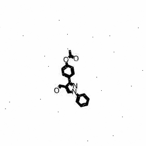 CC(=O)Oc1ccc(-c2nn(-c3ccccc3)cc2C=O)cc1